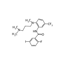 CN(C)CCCN(C)c1ccc(C(F)(F)F)cc1NC(=O)c1cc(I)ccc1F